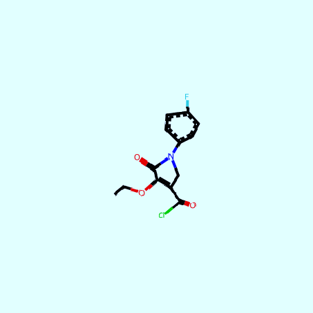 CCOC1=C(C(=O)Cl)CN(c2ccc(F)cc2)C1=O